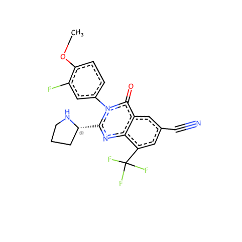 COc1ccc(-n2c([C@@H]3CCCN3)nc3c(C(F)(F)F)cc(C#N)cc3c2=O)cc1F